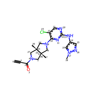 C#CC(=O)N1C[C@@]2(C)CN(c3nc(Nc4cnn(C)c4)ncc3Cl)C[C@@]2(C)C1